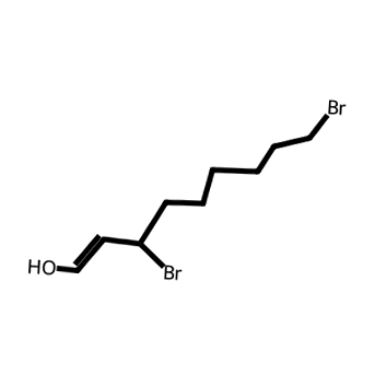 OC=CC(Br)CCCCCCBr